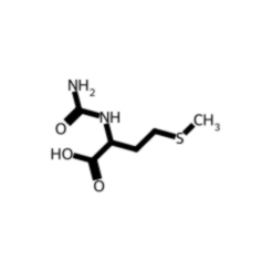 CSCCC(NC(N)=O)C(=O)O